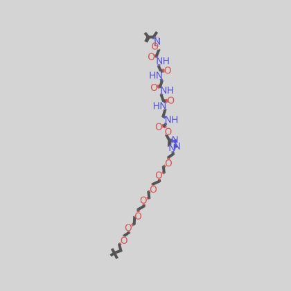 C=C(C)/C(C)=N\OCC(=O)NCC(=O)NCC(=O)NCC(=O)NCCNC(=O)OCc1cn(CCOCCOCCOCCOCCOCCOCCOCCC(C)(C)C)nn1